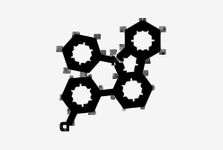 Clc1cccc(-c2cccc3c4ccccc4n(-c4ccccc4)c23)c1